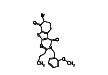 CCCc1nc2sc3c(c2c(=O)n1Cc1ccccc1OC)CCC(Br)C3=O